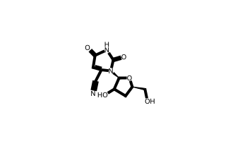 N#Cc1cc(=O)[nH]c(=O)n1[C@H]1O[C@@H](CO)CC1O